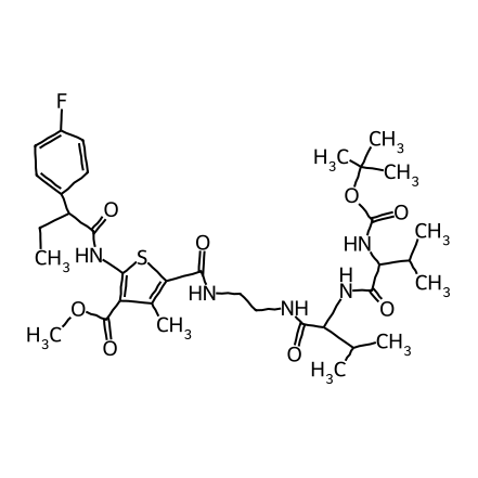 CCC(C(=O)Nc1sc(C(=O)NCCNC(=O)C(NC(=O)C(NC(=O)OC(C)(C)C)C(C)C)C(C)C)c(C)c1C(=O)OC)c1ccc(F)cc1